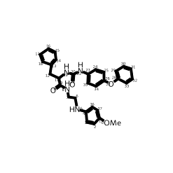 COc1ccc(NCCNC(=O)C(Cc2ccccc2)NC(=O)Nc2ccc(Oc3ccccc3)cc2)cc1